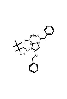 CCCCCCCN(C)[C@@H]1[C@@H](OCC(C)(O)C(C)(C)CCCC)[C@@H](OCc2ccccc2)C[C@H]1OCc1ccccc1